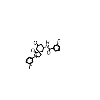 O=C1C[C@@H](NC(=O)c2cccc(F)c2)C[C@]2(CCN(c3cccc(F)c3)C2=O)C1